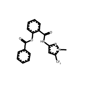 Cn1nc(NC(=O)c2ccccc2OC(=O)c2ccccc2)cc1C(F)(F)F